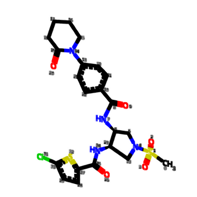 CS(=O)(=O)N1C[C@H](NC(=O)c2ccc(N3CCCCC3=O)cc2)[C@H](NC(=O)c2ccc(Cl)s2)C1